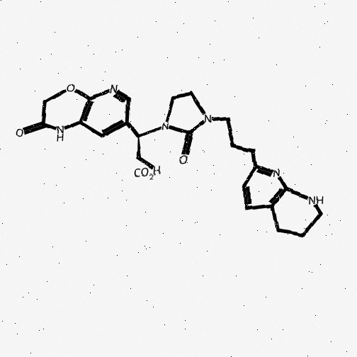 O=C(O)C[C@@H](c1cnc2c(c1)NC(=O)CO2)N1CCN(CCCc2ccc3c(n2)NCCC3)C1=O